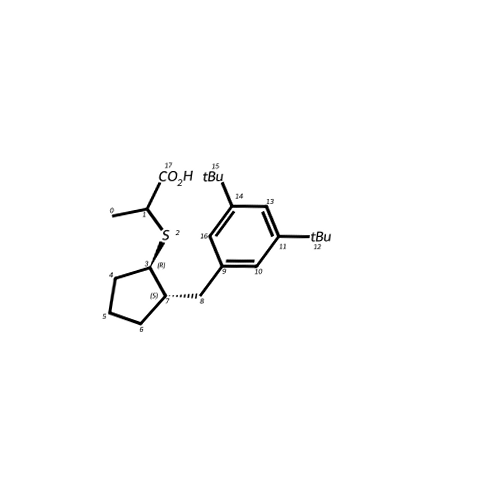 CC(S[C@@H]1CCC[C@H]1Cc1cc(C(C)(C)C)cc(C(C)(C)C)c1)C(=O)O